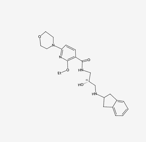 CCOc1nc(N2CCOCC2)ccc1C(=O)NC[C@@H](O)CNC1Cc2ccccc2C1